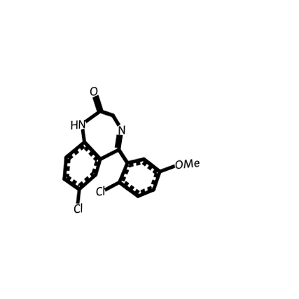 COc1ccc(Cl)c(C2=NCC(=O)Nc3ccc(Cl)cc32)c1